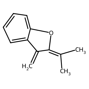 C=c1c(=C(C)C)oc2ccccc12